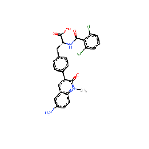 Cn1c(=O)c(-c2ccc(C[C@H](NC(=O)c3c(Cl)cccc3Cl)C(=O)O)cc2)cc2cc(N)ccc21